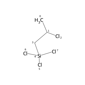 CC(Cl)C[Si](Cl)(Cl)Cl